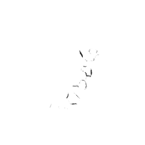 CC#C[C@@H](CC(=O)OCC)c1ccc(OCc2ccc(CO)cc2)cc1